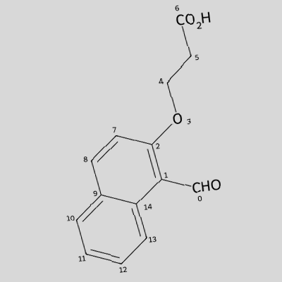 O=Cc1c(OCCC(=O)O)ccc2ccccc12